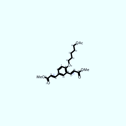 COC(=O)/C=C/c1ccc(OCCCCCOC(C)=O)c(/C=C/C(=O)OC)c1